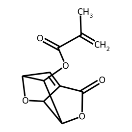 C=C(C)C(=O)OC1C2C=C3C(=O)OC1C3O2